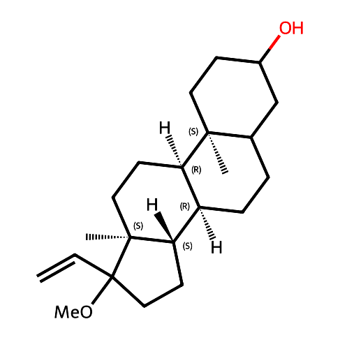 C=CC1(OC)CC[C@H]2[C@@H]3CCC4CC(O)CC[C@]4(C)[C@@H]3CC[C@@]21C